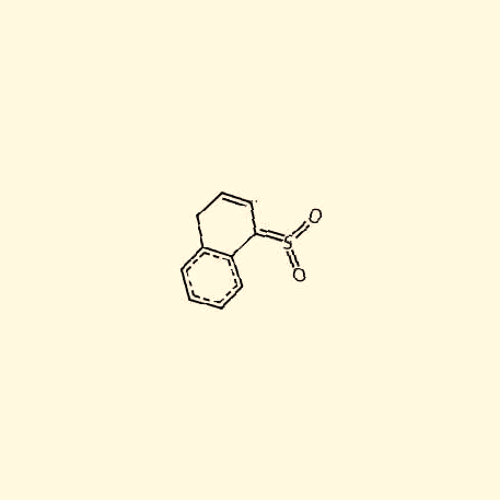 O=S(=O)=C1[C]=CCc2ccccc21